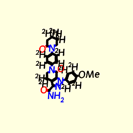 [2H]c1c([2H])c(-n2nc(C(N)=O)c3c2C(=O)N(c2c([2H])c([2H])c(N4CC([2H])([2H])C([2H])([2H])CC4=O)c([2H])c2[2H])CC3([2H])[2H])c([2H])c([2H])c1OC